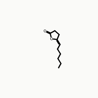 CCCCCC=C1CCC(=O)O1